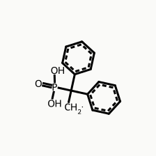 [CH2]C(c1ccccc1)(c1ccccc1)P(=O)(O)O